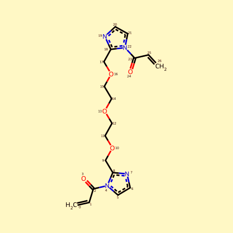 C=CC(=O)n1ccnc1COCCOCCOCc1nccn1C(=O)C=C